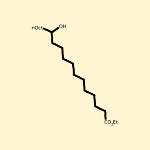 CCCCCCCCC(O)CCCCCCCCCCC(=O)OCC